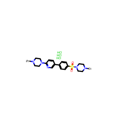 CCN1CCN(S(=O)(=O)c2ccc(-c3ccc(N4CCN(C(C)C)CC4)nc3)cc2)CC1.Cl.Cl.Cl